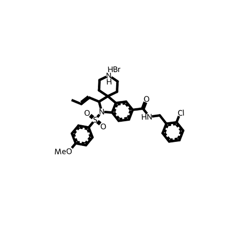 Br.CC=CC1N(S(=O)(=O)c2ccc(OC)cc2)c2ccc(C(=O)NCc3ccccc3Cl)cc2C12CCNCC2